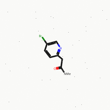 CNC(=O)Cc1ccc(Br)cn1